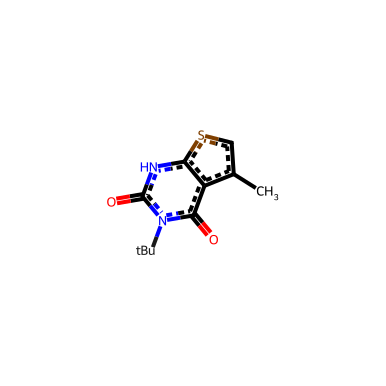 Cc1csc2[nH]c(=O)n(C(C)(C)C)c(=O)c12